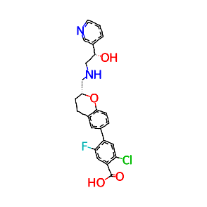 O=C(O)c1cc(F)c(-c2ccc3c(c2)CC[C@H](CNC[C@@H](O)c2cccnc2)O3)cc1Cl